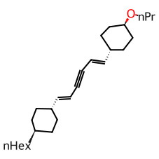 CCCCCC[C@H]1CC[C@H](/C=C/C#C/C=C/[C@H]2CC[C@H](OCCC)CC2)CC1